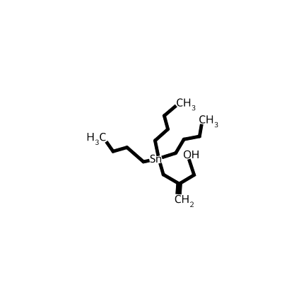 C=C(CO)[CH2][Sn]([CH2]CCC)([CH2]CCC)[CH2]CCC